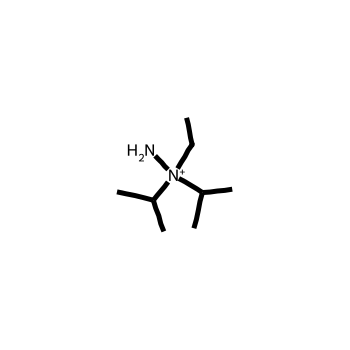 CC[N+](N)(C(C)C)C(C)C